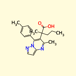 CCCC(C)(C(=O)O)c1c(C)nc2ccnn2c1-c1ccc(C)cc1